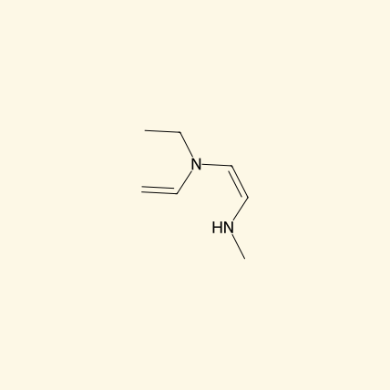 C=CN(/C=C\NC)CC